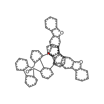 O=S12(c3ccccc3-c3ccccc31)c1cccc(-n3c4ccccc4c4cc5oc6ccccc6c5cc43)c1-c1c(-n3c4ccccc4c4cc5oc6ccccc6c5cc43)cccc12